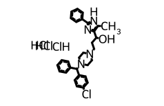 Cc1[nH]c(-c2ccccc2)nc1C(O)CCN1CCN(C(c2ccccc2)c2ccc(Cl)cc2)CC1.Cl.Cl.Cl